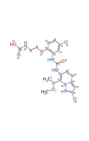 COC(C)c1c(NC(=O)Nc2cc(Cl)cnc2OCCNC(=O)O)cnc2cc(Cl)nn12